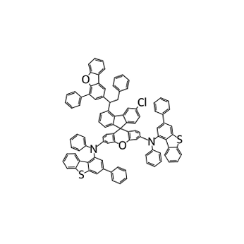 Clc1ccc2c(c1)-c1c(C(Cc3ccccc3)c3cc(-c4ccccc4)c4oc5ccccc5c4c3)cccc1C21c2ccc(N(c3ccccc3)c3cc(-c4ccccc4)cc4sc5ccccc5c34)cc2Oc2cc(N(c3ccccc3)c3cc(-c4ccccc4)cc4sc5ccccc5c34)ccc21